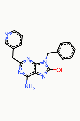 Nc1nc(Cc2cccnc2)nc2c1nc(O)n2Cc1ccccc1